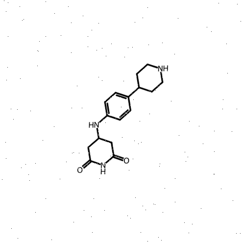 O=C1CC(Nc2ccc(C3CCNCC3)cc2)CC(=O)N1